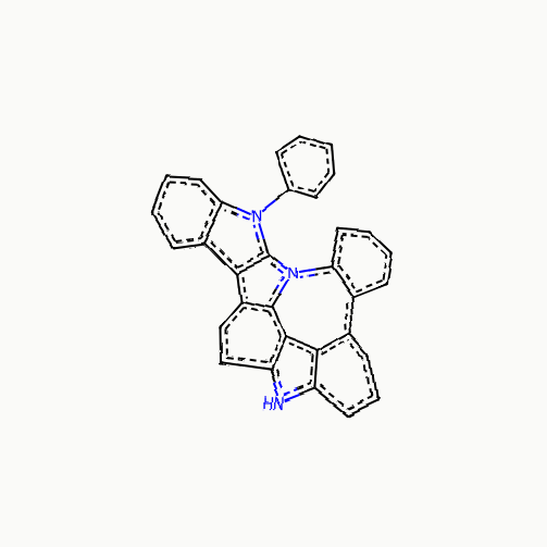 c1ccc(-n2c3ccccc3c3c4ccc5[nH]c6cccc7c8ccccc8n(c4c5c67)c32)cc1